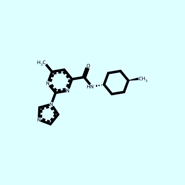 Cc1cc(C(=O)N[C@H]2CC[C@H](C)CC2)nc(-n2ccnc2)n1